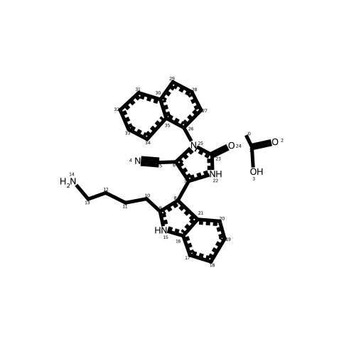 CC(=O)O.N#Cc1c(-c2c(CCCCN)[nH]c3ccccc23)[nH]c(=O)n1-c1cccc2ccccc12